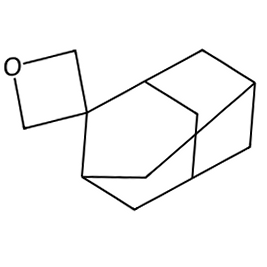 C1C2CC3CC1CC(C2)C31COC1